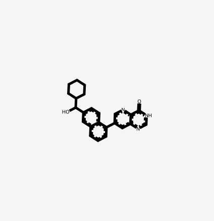 O=c1[nH]cnc2cc(-c3cccc4cc(C(O)C5CCCCC5)ccc34)cnc12